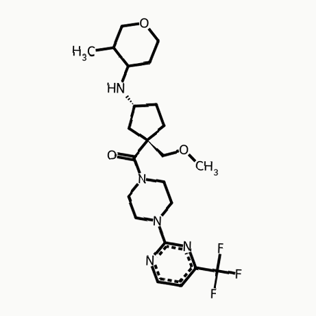 COC[C@]1(C(=O)N2CCN(c3nccc(C(F)(F)F)n3)CC2)CC[C@@H](NC2CCOCC2C)C1